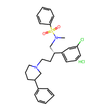 CN(C[C@@H](CCN1CCCC(c2ccccc2)C1)c1cccc(Cl)c1)S(=O)(=O)c1ccccc1.Cl